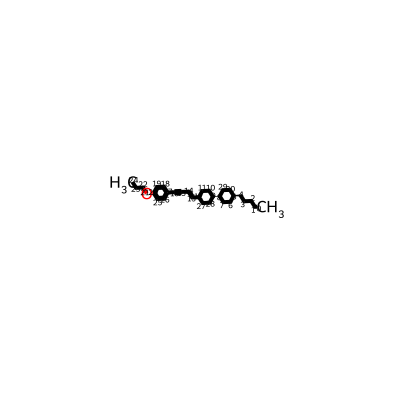 CCCCC[C@H]1CC[C@H](C2CCC(/C=C/C#Cc3ccc(OCCC)cc3)CC2)CC1